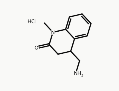 CN1C(=O)CC(CN)c2ccccc21.Cl